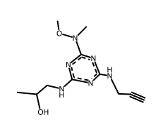 C#CCNc1nc(NCC(C)O)nc(N(C)OC)n1